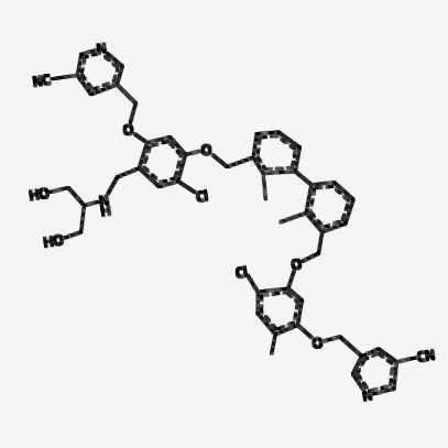 Cc1cc(Cl)c(OCc2cccc(-c3cccc(COc4cc(OCc5cncc(C#N)c5)c(CNC(CO)CO)cc4Cl)c3C)c2C)cc1OCc1cncc(C#N)c1